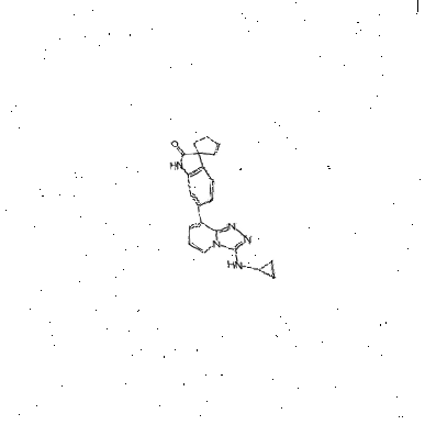 O=C1Nc2cc(-c3cccn4c(NC5CC5)nnc34)ccc2C12CCCC2